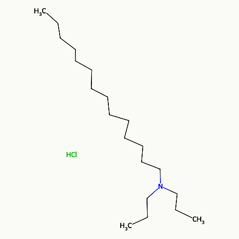 CCCCCCCCCCCCCCN(CCC)CCC.Cl